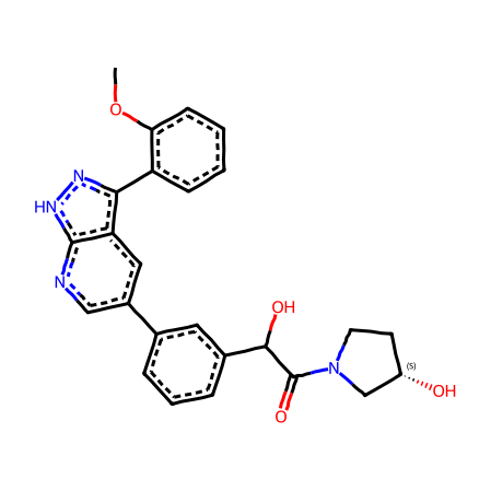 COc1ccccc1-c1n[nH]c2ncc(-c3cccc(C(O)C(=O)N4CC[C@H](O)C4)c3)cc12